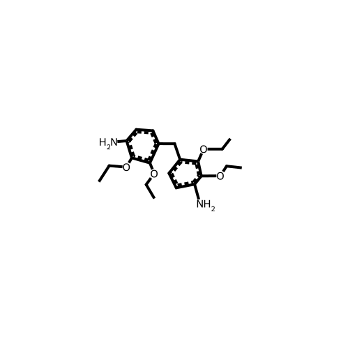 CCOc1c(N)ccc(Cc2ccc(N)c(OCC)c2OCC)c1OCC